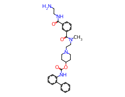 CN(CCN1CCC(OC(=O)Nc2ccccc2-c2ccccc2)CC1)C(=O)c1cccc(C(=O)NCCN)c1